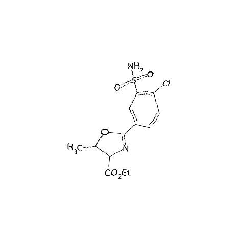 CCOC(=O)C1N=C(c2ccc(Cl)c(S(N)(=O)=O)c2)OC1C